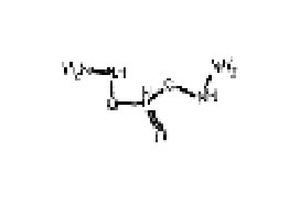 NNO[PH](=O)ONN